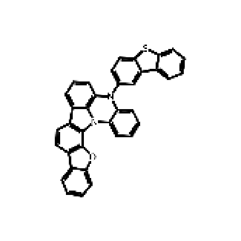 c1ccc2c(c1)N(c1ccc3sc4ccccc4c3c1)c1cccc3c4ccc5c6ccccc6oc5c4n-2c13